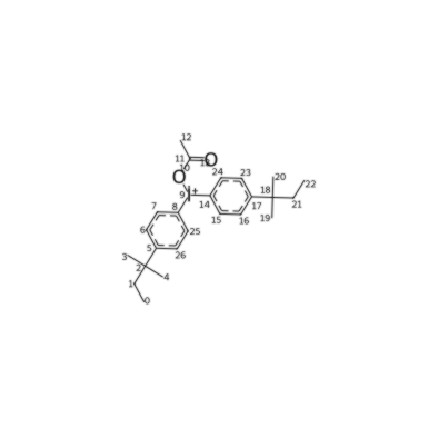 CCC(C)(C)c1ccc([I+](OC(C)=O)c2ccc(C(C)(C)CC)cc2)cc1